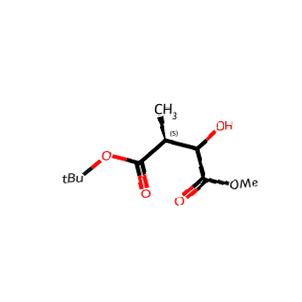 COC(=O)C(O)[C@H](C)C(=O)OC(C)(C)C